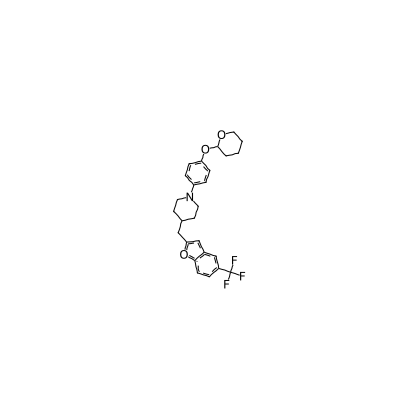 FC(F)(F)c1ccc2oc(CC3CCN(c4ccc(OC5CCCCO5)cc4)CC3)cc2c1